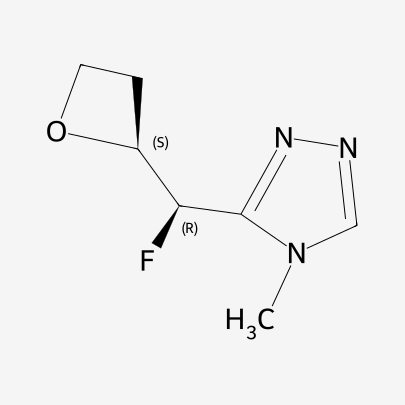 Cn1cnnc1[C@@H](F)[C@@H]1CCO1